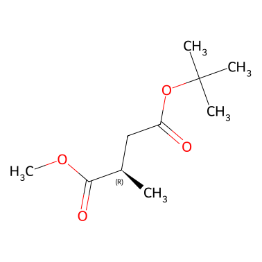 COC(=O)[C@H](C)CC(=O)OC(C)(C)C